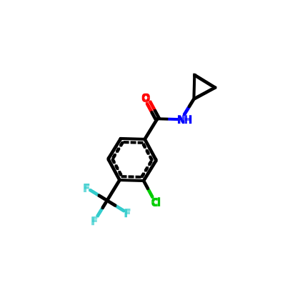 O=C(NC1CC1)c1ccc(C(F)(F)F)c(Cl)c1